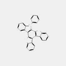 c1ccc(-n2c3ccccc3c3c4sc5ccccc5c4c4c5ccccc5sc4c32)cc1